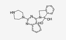 OS1(O)c2ccccc2CN1c1nc(N2CCNCC2)nc2ccccc12